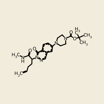 C=CCCC(C(=O)NC)n1ncc2cc(N3CCN(C(=O)OC(C)(C)C)CC3)ccc2c1=O